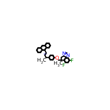 C=C(/C=C/c1c2ccccc2cc2ccccc12)c1ccc(OCC(C)(CC2C=NC=N2)c2ccc(F)cc2F)cc1